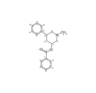 CN1CC(OC(=O)c2ccccc2)CC(c2ccccc2)C1